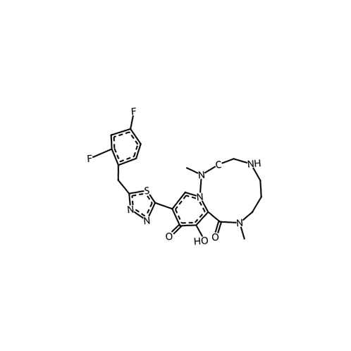 CN1CCCNCCN(C)n2cc(-c3nnc(Cc4ccc(F)cc4F)s3)c(=O)c(O)c2C1=O